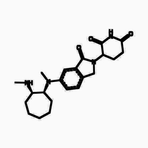 CN[C@@H]1CCCCC[C@@H]1N(C)c1ccc2c(c1)C(=O)N(C1CCC(=O)NC1=O)C2